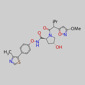 COc1cc(C(C(=O)N2C[C@H](O)C[C@H]2C(=O)NOc2ccc(-c3scnc3C)cc2)C(C)C)on1